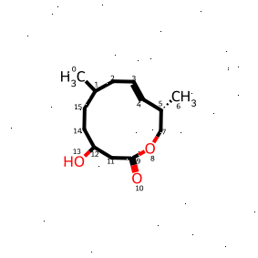 CC1C/C=C/[C@H](C)COC(=O)CC(O)CC1